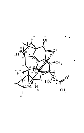 COC(=O)/C(C)=C1/C(=O)[C@H](O)[C@]2(C)C3=C1[C@]14OC(=O)C(COC(C)=O)=C1C[C@H]1C[C@H]5C[C@H]5[C@]1(C)[C@@H]4C[C@]3(O)[C@H]1C[C@H]12